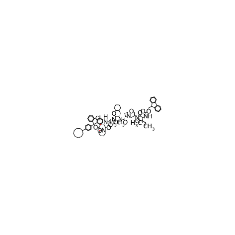 CC[C@H](C)[C@H](NC(=O)OCC1c2ccccc2-c2ccccc21)C(=O)N(C)C(C=O)CN1CC[C@H]1C(=O)N(C)[C@@H](CC1CCCCC1)C(=O)N(C)CC(=O)N[C@@H](CC(=O)OC(c1ccccc1)(c1ccc(C2CCCCCCCC2)cc1)c1ccccc1Cl)C(=O)N1CCCCC1